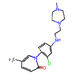 CN1CCN(CCNc2ccc(-n3cc(C(F)(F)F)ccc3=O)c(Cl)c2)CC1